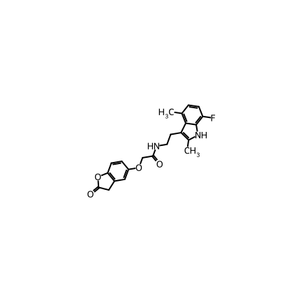 Cc1[nH]c2c(F)ccc(C)c2c1CCNC(=O)COc1ccc2c(c1)CC(=O)O2